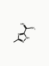 Cc1n[nH]c(C(=N)N)n1